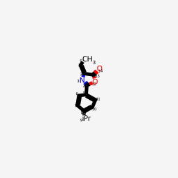 C/C=C1/N=C(c2ccc(C(C)C)cc2)OC1=O